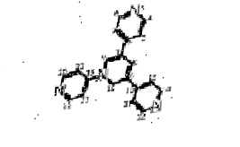 C1=C(c2ccncc2)C=C(c2ccncc2)CN1c1ccncc1